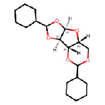 C1CCC(C2OC[C@H]3O[C@@H]4OC(C5CCCCC5)O[C@@H]4[C@H]3O2)CC1